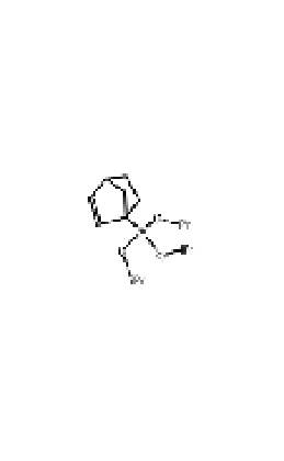 CC(C)O[Si](OC(C)C)(OC(C)C)C12C=CC(CC1)C2